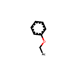 CC(=O)[CH]Oc1ccccc1